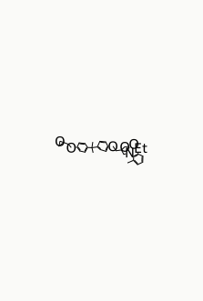 CCc1cccc(C)c1N1CC(COc2ccc(C(C)(C)c3ccc(OCC4CO4)cc3)cc2)OC1=O